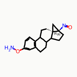 NOc1ccc2c(c1)CCC1C2CC[C@]23C[C@]2(N=O)CCC13